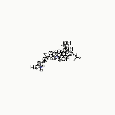 CC(C)=CCC[C@@]1(C)C=Cc2c(O)c3c(c(CC(O)C(C)(C)O)c2O1)OC(C)/C(=C\C(C=O)CCC(C)(C)OCC/C=C(/C)C(=O)O)C3=O